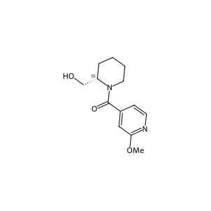 COc1cc(C(=O)N2CCCC[C@H]2CO)ccn1